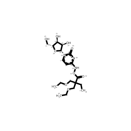 CCOCC(CC)(COCC)C(=O)ONc1ccn([C@@H]2O[C@H](CO)[C@@H](O)[C@H]2O)c(=O)n1